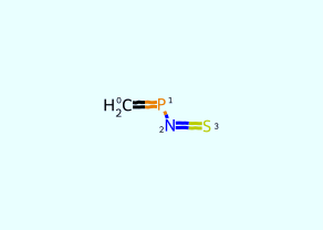 C=PN=S